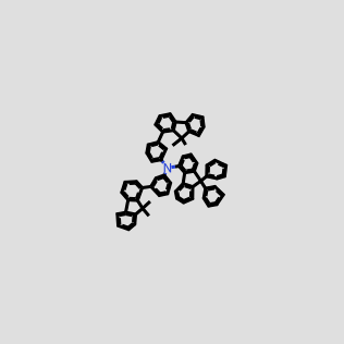 CC1(C)c2ccccc2-c2cccc(-c3cccc(N(c4cccc(-c5cccc6c5C(C)(C)c5ccccc5-6)c4)c4cccc5c4-c4ccccc4C5(c4ccccc4)c4ccccc4)c3)c21